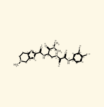 CN1CCc2nc(C(=O)NC(CNC(=S)C(=O)Nc3ccc(F)c(F)c3)C(=O)N(C)C)sc2C1